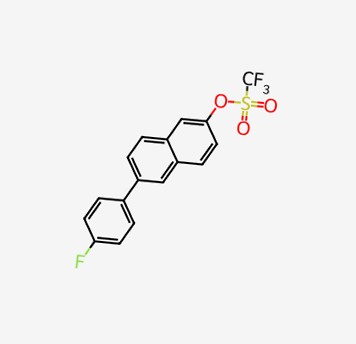 O=S(=O)(Oc1ccc2cc(-c3ccc(F)cc3)ccc2c1)C(F)(F)F